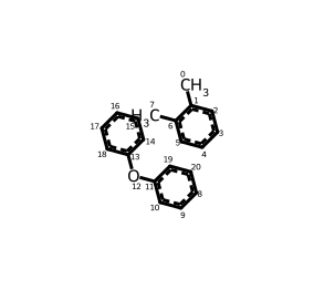 Cc1ccccc1C.c1ccc(Oc2ccccc2)cc1